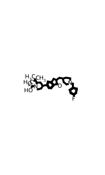 CC(C)(C)C1CC(c2ccc3c(c2)CC(CC2CCN(Cc4ccc(F)cc4)CC2)C3=O)CCN1C(=O)O